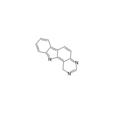 C1=NCc2c3c(ccc2=N1)=c1ccccc1=N3